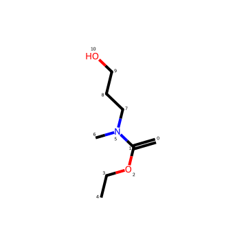 C=C(OCC)N(C)CCCO